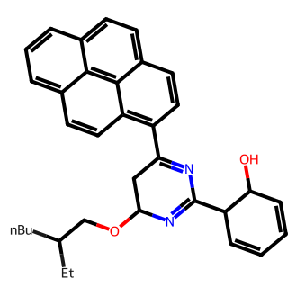 CCCCC(CC)COC1CC(c2ccc3ccc4cccc5ccc2c3c45)=NC(C2C=CC=CC2O)=N1